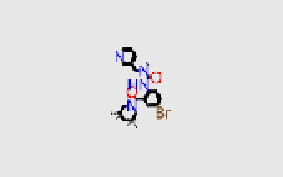 C[C@@H]1C[C@H](C)CN(C(=O)c2cc(Br)ccc2NC(=O)N(C)Cc2cccnc2)C1